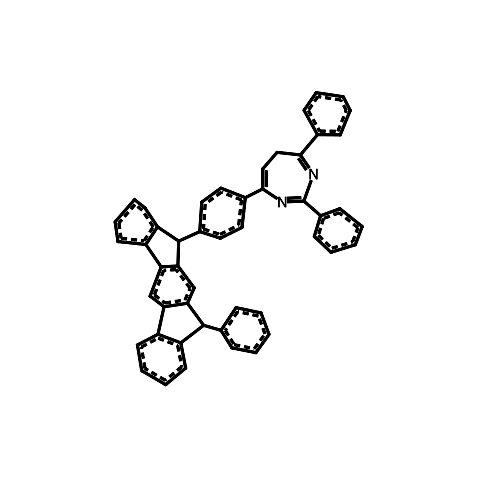 C1=C(c2ccc(C3c4ccccc4-c4cc5c(cc43)C(c3ccccc3)c3ccccc3-5)cc2)N=C(c2ccccc2)N=C(c2ccccc2)C1